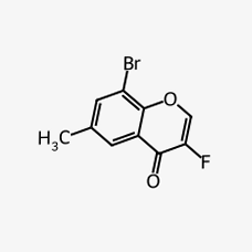 Cc1cc(Br)c2occ(F)c(=O)c2c1